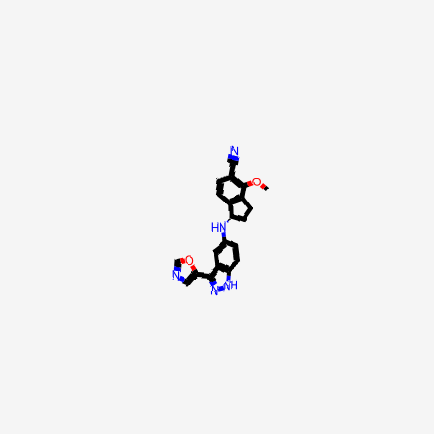 COc1c(C#N)ccc2c1CC[C@@H]2Nc1ccc2[nH]nc(-c3cnco3)c2c1